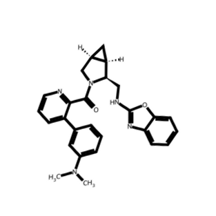 CN(C)c1cccc(-c2cccnc2C(=O)N2C[C@H]3C[C@H]3[C@H]2CNc2nc3ccccc3o2)c1